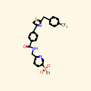 CCS(=O)(=O)c1ccc(CNC(=O)c2ccc(-c3csc(Cc4ccc(C(F)(F)F)cc4)n3)cc2)nc1